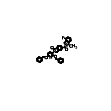 C[C@@H]1c2cccc(F)c2CN1C(=O)c1ccc2c(c1)CN(c1ccc(OCc3ccccc3)nc1OCc1ccccc1)C2=O